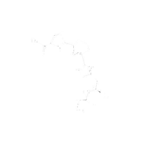 CC(C)(C)OC(=O)N[C@@H](Cc1nc(-c2cccc(-c3nc(C(N)=O)cs3)n2)cs1)C(=O)O